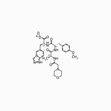 COc1ccc(C[C@H](NC(=O)[C@H](C)NC(=O)CN2CCOCC2)C(=O)N[C@@H](Cc2ccc3[nH]ncc3c2)C(=O)[C@H]2CO2)cc1